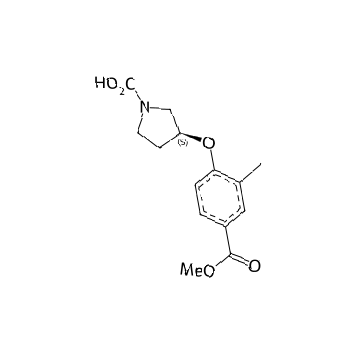 COC(=O)c1ccc(O[C@H]2CCN(C(=O)O)C2)c(C)c1